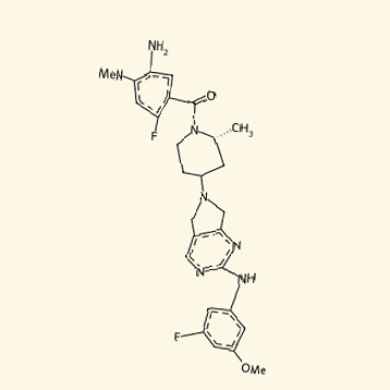 CNc1cc(F)c(C(=O)N2CCC(N3Cc4cnc(Nc5cc(F)cc(OC)c5)nc4C3)C[C@H]2C)cc1N